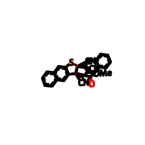 COC(=O)C1(C#N)C(C#N)(C#N)[C@]23Sc4cc5ccccc5cc4[C@]12Sc1cc2ccccc2cc13